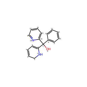 OC(C1=CC=CCN1)(c1ccccc1)c1ccccn1